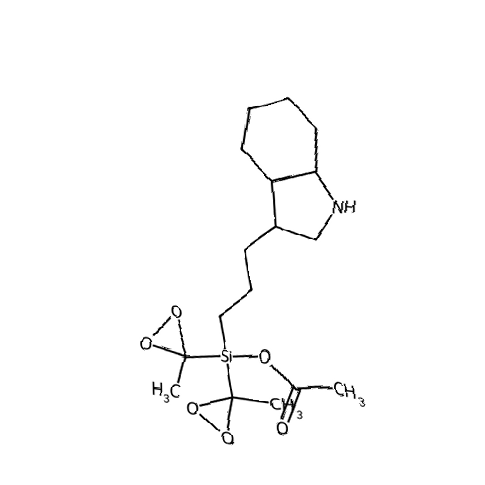 CC(=O)O[Si](CCCC1CNC2CCCCC12)(C1(C)OO1)C1(C)OO1